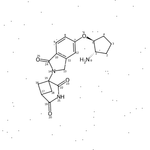 N[C@H]1CCC[C@@H]1Oc1ccc2c(c1)CN(C13CC(C1)C(=O)NC3=O)C2=O